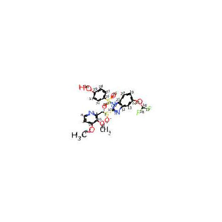 COc1ccnc(C[S+]([O-])c2nc3cc(OC(F)F)ccc3n2S(=O)(=O)c2ccc(O)cc2)c1OC